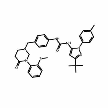 CSc1ccccc1N1CN(Cc2ccc(NC(=O)Nc3cc(C(C)(C)C)nn3-c3ccc(C)cc3)cc2)CCC1=O